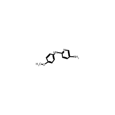 COc1ccc(Nc2ccc(N)cn2)cc1